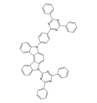 c1ccc(-c2nc(-c3ccccc3)nc(-c3ccc(-n4c5ccccc5c5c6c7ccccc7n(-c7nc(-c8ccccc8)nc(-c8ccccc8)n7)c6ccc54)cc3)n2)cc1